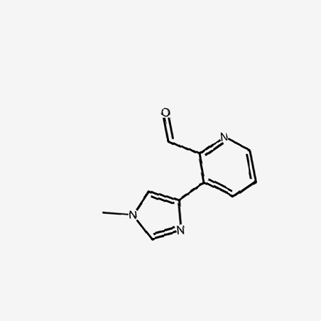 Cn1cnc(-c2cccnc2C=O)c1